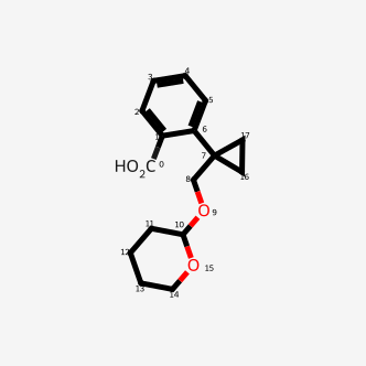 O=C(O)c1ccccc1C1(COC2CCCCO2)CC1